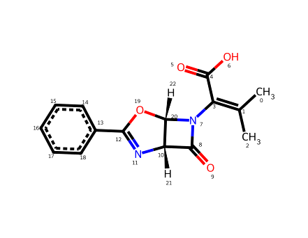 CC(C)=C(C(=O)O)N1C(=O)[C@@H]2N=C(c3ccccc3)O[C@@H]21